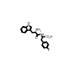 N[C@@H](Cc1c[nH]c2ccccc12)C(=O)NC(Cc1ccc(F)cc1)C(=O)O